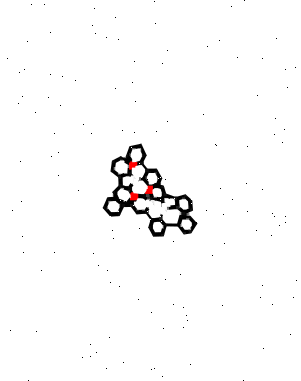 c1ccc(-c2cc(-c3cccc(-c4ccccc4)c3-n3c4ccccc4c4ccccc43)nc(-c3cccc(-c4ccccc4)c3-n3c4ccccc4c4ccccc43)c2)cc1